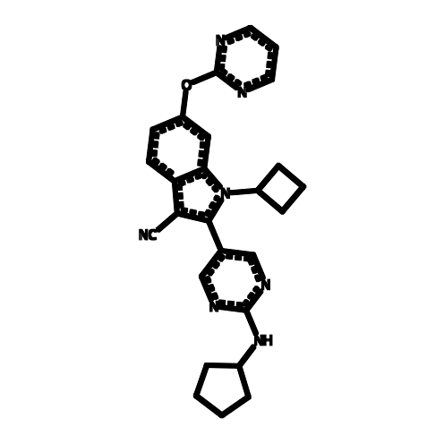 N#Cc1c(-c2cnc(NC3CCCC3)nc2)n(C2CCC2)c2cc(Oc3ncccn3)ccc12